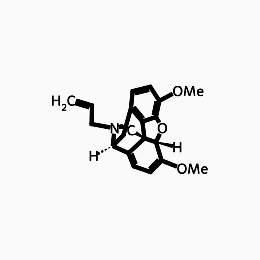 C=CCN1CC[C@]23C4=CC=C(OC)[C@H]2Oc2c(OC)ccc(c23)C[C@@H]41